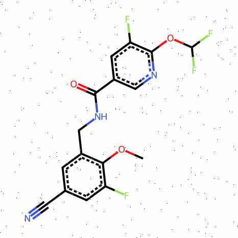 COc1c(F)cc(C#N)cc1CNC(=O)c1cnc(OC(F)F)c(F)c1